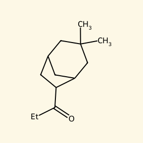 CCC(=O)C1CC2CC1CC(C)(C)C2